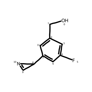 OCc1cc(F)cc(C2C=N2)c1